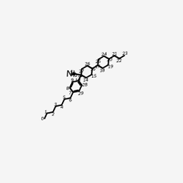 CCCCCCCc1ccc(C2(C#N)CCC(C3CCC(CCC)CC3)CC2)cc1